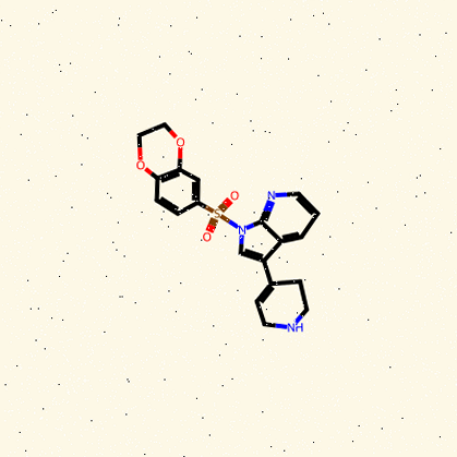 O=S(=O)(c1ccc2c(c1)OCCO2)n1cc(C2=CCNCC2)c2cccnc21